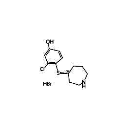 Br.Oc1ccc(S[C@H]2CCCNCC2)c(Cl)c1